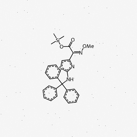 CON=C(C(=O)O[Si](C)(C)C)c1csc(NC(c2ccccc2)(c2ccccc2)c2ccccc2)n1